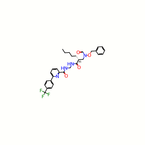 CCCCC[C@H](CN(C=O)OCc1ccccc1)C(=O)NCNC(=O)c1cccc(-c2ccc(C(F)(F)F)cc2)n1